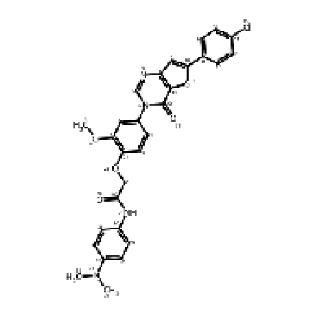 COc1cc(-n2cnc3cc(-c4ccc(Cl)cc4)sc3c2=O)ccc1OCC(=O)Nc1ccc(N(C)C)cc1